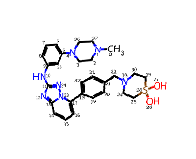 CN1CCN(c2cccc(Nc3nc4cccc(-c5ccc(CN6CCS(O)(O)CC6)cc5)n4n3)c2)CC1